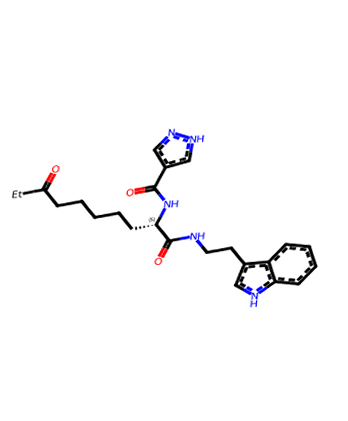 CCC(=O)CCCCC[C@H](NC(=O)c1cn[nH]c1)C(=O)NCCc1c[nH]c2ccccc12